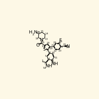 CN/C(C)=C1/C=C(c2sc(C(=O)N3CCCC(N)C3)cc2-c2ccc(C#N)c(F)c2)C=CC1=N